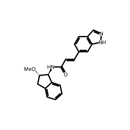 CO[C@H]1Cc2ccccc2[C@@H]1NC(=O)/C=C/c1ccc2cn[nH]c2c1